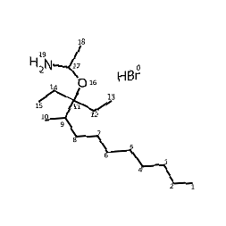 Br.CCCCCCCCC(C)C(CC)(CC)OC(C)N